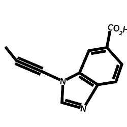 CC#Cn1cnc2ccc(C(=O)O)cc21